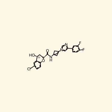 O=C(NC12CC(n3cnc(-c4ccc(F)c(F)c4)c3)(C1)C2)[C@@H]1C[C@H](O)c2cc(Cl)ccc2O1